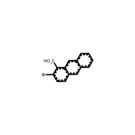 O=S(=O)(O)c1c(Br)ccc2cc3ccccc3cc12